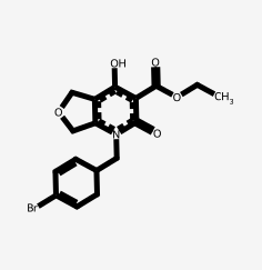 CCOC(=O)c1c(O)c2c(n(CC3C=CC(Br)=CC3)c1=O)COC2